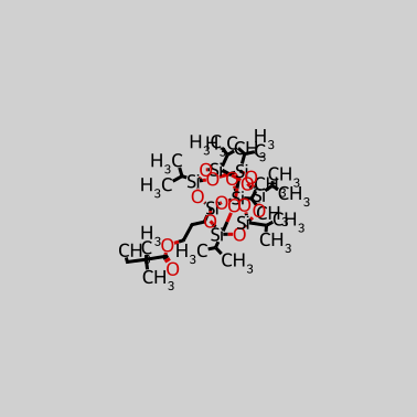 CCC(C)(C)C(=O)OCCC[Si]12O[Si]3(C(C)C)O[Si]4(C(C)C)O[Si](C(C)C)(O1)O[Si]1(C(C)C)O[Si](C(C)C)(O2)O[Si](C(C)C)(O3)O[Si](C(C)C)(O4)O1